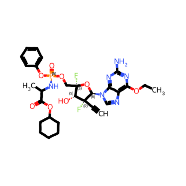 C#C[C@]1(F)[C@H](n2cnc3c(OCC)nc(N)nc32)O[C@](F)(CO[P@](=O)(NC(C)C(=O)OC2CCCCC2)Oc2ccccc2)[C@H]1O